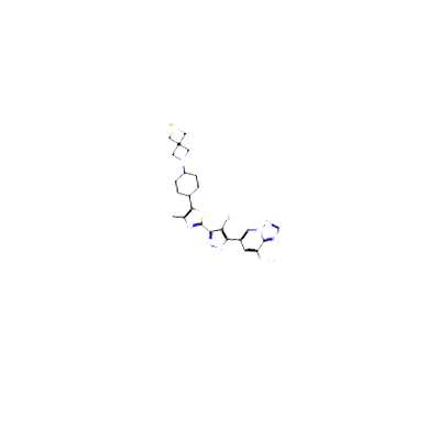 COc1cc(-c2[nH]nc(-c3nc(C)c(C4CCC(N5CC6(C5)CS(=O)(=O)C6)CC4)s3)c2C(C)C)cn2ncnc12